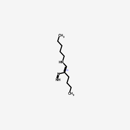 CCCCCN/C=C(/CCCC)N=N